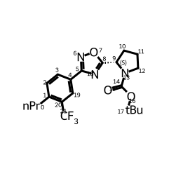 CCCc1ccc(-c2noc([C@@H]3CCCN3C(=O)OC(C)(C)C)n2)cc1C(F)(F)F